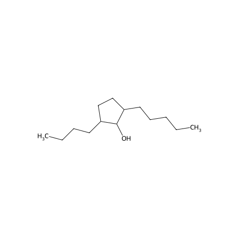 CCCCCC1CCC(CCCC)C1O